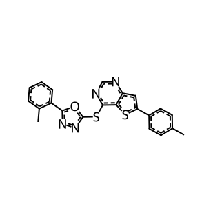 Cc1ccc(-c2cc3ncnc(Sc4nnc(-c5ccccc5C)o4)c3s2)cc1